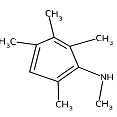 CNc1c(C)cc(C)c(C)c1C